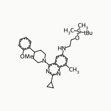 COc1ccccc1C1CCN(c2nc(C3CC3)nc3c(C)cc(NCCO[Si](C)(C)C(C)(C)C)cc23)CC1